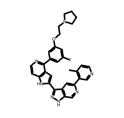 Cc1ccncc1-c1cc2c(-c3cc4c(-c5cc(F)cc(OCCN6CCCC6)c5)nccc4[nH]3)n[nH]c2cn1